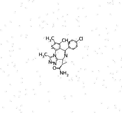 Cc1sc2c(c1C)C(c1ccc(Cl)cc1)=N[C@]1(C[C@H]1C(N)=O)c1nnc(C)n1-2